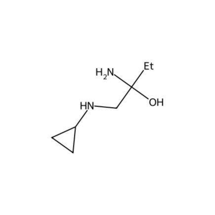 CCC(N)(O)CNC1CC1